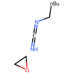 C1CO1.CCCCCN=C=N